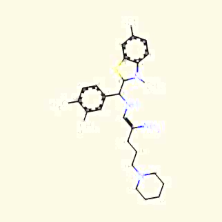 CCc1ccc2c(c1)SC(C(N/C=C(\N)CCCN1CCCCC1)c1ccc(C)c(C)c1)N2C